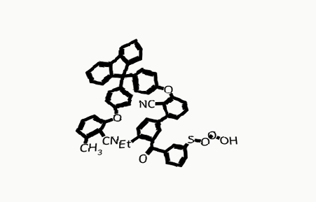 CCc1ccc(-c2cccc(Oc3ccc(C4(c5ccc(Oc6cccc(C)c6C#N)cc5)c5ccccc5-c5ccccc54)cc3)c2C#N)cc1C(=O)c1cccc(SOOO)c1